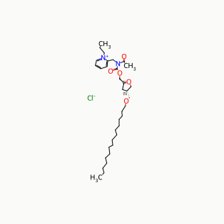 CCCCCCCCCCCCCCCCOC[C@H]1CO[C@H](COC(=O)N(Cc2cccc[n+]2CCC)C(C)=O)C1.[Cl-]